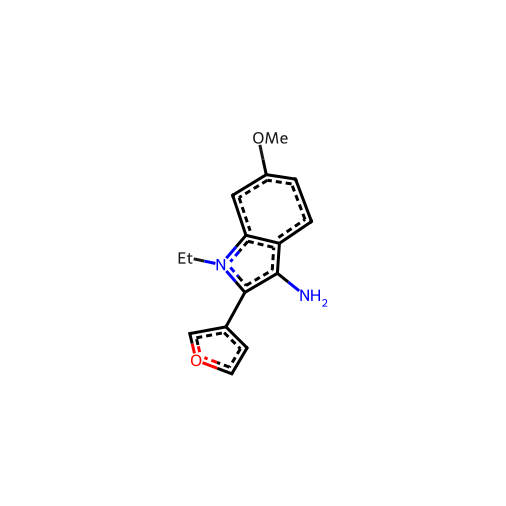 CCn1c(-c2ccoc2)c(N)c2ccc(OC)cc21